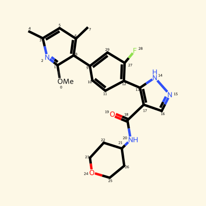 COc1nc(C)cc(C)c1-c1ccc(-c2[nH]ncc2C(=O)NC2CCOCC2)c(F)c1